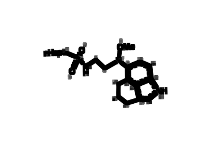 CCCCCCCS(=O)(=O)NCCN(OC)c1ccc2[nH]cc3c2c1CCC3